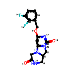 O=C1CN2c3cc(OCc4cccc(F)c4F)nc(=O)n3CC2CN1